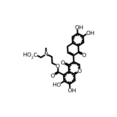 CN(CCOC(=O)c1c(O)c(O)cc2occ(C3=CCc4cc(O)c(O)cc4C3=O)c(=O)c12)CC(=O)O